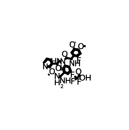 COc1cc(F)c(C(Nc2ccc(C(=N)N)cc2)C(=O)NNC(=O)c2cccnc2OC)cc1OC.O=C(O)C(F)(F)F